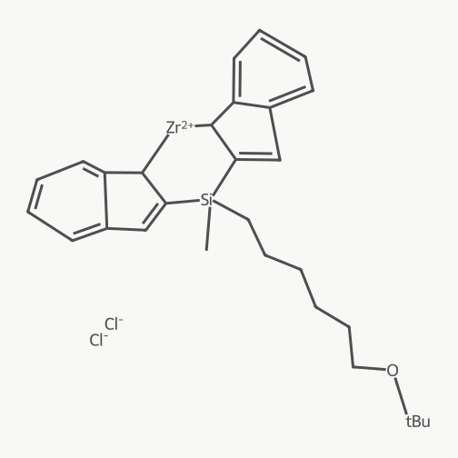 CC(C)(C)OCCCCCC[Si]1(C)C2=Cc3ccccc3[CH]2[Zr+2][CH]2C1=Cc1ccccc12.[Cl-].[Cl-]